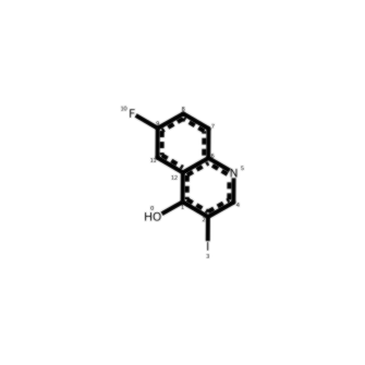 Oc1c(I)cnc2ccc(F)cc12